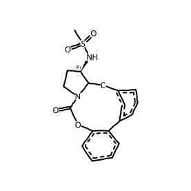 CS(=O)(=O)N[C@@H]1CCN2C(=O)Oc3ccccc3-c3cccc(c3)CC12